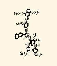 COC1=C(/N=N/c2cc(S(=O)(=O)O)c3c(c2)=C(S(=O)(=O)O)CCC=3)C=CC(/N=N/c2sc(/N=N/c3c(Nc4ccc(S(=O)(=O)O)cc4)nc(Nc4ccc(S(=O)(=O)O)cc4)c(C#N)c3C)nc2-c2ccc3ccccc3c2)C1